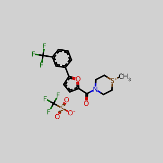 C[S+]1CCN(C(=O)c2ccc(-c3cccc(C(F)(F)F)c3)o2)CC1.O=S(=O)([O-])C(F)(F)F